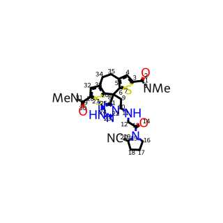 CNC(=O)c1cc2c(s1)C(CCNCC(=O)N1CCCC1C#N)(c1nn[nH]n1)c1sc(C(=O)NC)cc1CC2